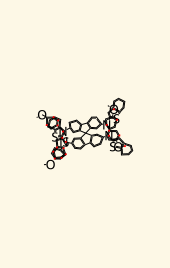 COc1ccc(N(c2ccc3c(c2)C2(c4cc(N(c5ccc(OC)cc5)c5cc6ccccc6s5)ccc4-3)c3cc(N(c4ccc(OC)cc4)c4cc5ccccc5s4)ccc3-c3ccc(N(c4ccc(OC)cc4)c4cc5ccccc5s4)cc32)c2cc3ccccc3s2)cc1